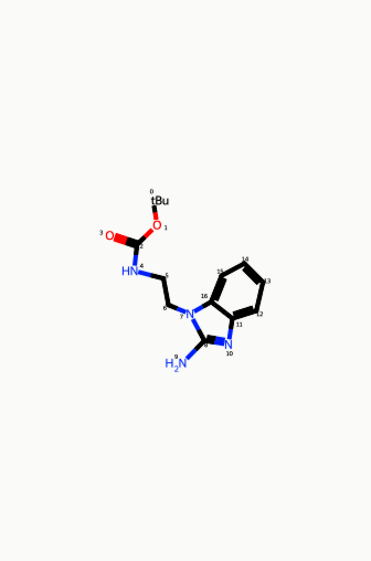 CC(C)(C)OC(=O)NCCn1c(N)nc2ccccc21